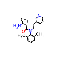 Cc1cccc(C)c1N(CCc1cccnc1)C(=O)CC(C)N